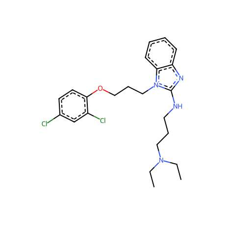 CCN(CC)CCCNc1nc2ccccc2n1CCCOc1ccc(Cl)cc1Cl